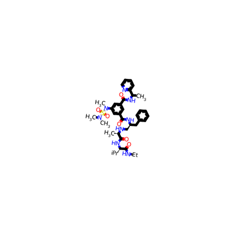 CCNC(=O)[C@@H](NC(=O)[C@H](C)NC[C@H](Cc1ccccc1)NC(=O)c1cc(C(=O)NC(C)c2ccccn2)cc(N(C)S(=O)(=O)N(C)C)c1)C(C)C